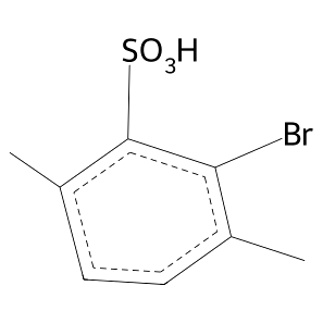 Cc1ccc(C)c(S(=O)(=O)O)c1Br